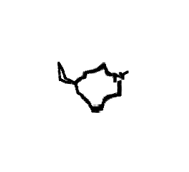 CN1CCCCC2(CC1)CC2